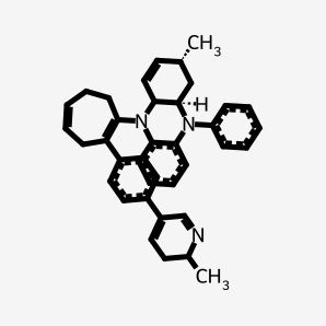 CC1CC=C(c2ccc(C3=C(N4c5ccccc5N(c5ccccc5)[C@@H]5C[C@@H](C)C=CC54)CCC=CC3)cc2)C=N1